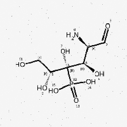 N[C@@H](C=O)[C@@H](O)[C@](O)([C@H](O)CO)P(=O)(O)O